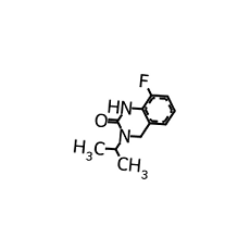 CC(C)N1Cc2cccc(F)c2NC1=O